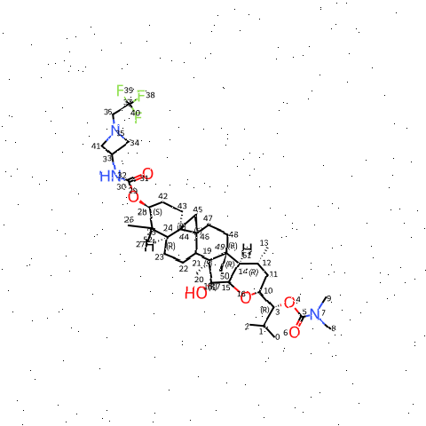 CC(C)[C@@H](OC(=O)N(C)C)C1C[C@@H](C)[C@H]2C(O1)[C@H](O)[C@@]1(C)C3CC[C@H]4C(C)(C)[C@@H](OC(=O)NC5CN(CC(F)(F)F)C5)CC[C@@]45C[C@@]35CC[C@]21C